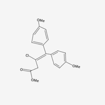 COC(=O)CC(Cl)=C(c1ccc(OC)cc1)c1ccc(OC)cc1